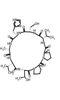 CC(C)[C@@H]1NC(=O)[C@H](C)NC(=O)[C@H](Cc2c[nH]cn2)NC(=O)[C@H](CO)NC(=O)[C@H](C(C)C)NC(=O)[C@@H]2CCCN2C(=O)[C@@H]2CCCN2C(=O)[C@H]([C@H](C)O)NC1=O